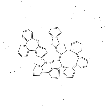 c1ccc(-c2ccccc2N(c2ccc3c(c2)-c2ccccc2-c2ccccc2O3)c2ccc3c4ccccc4c4ccccc4c4ccccc4c4cc5c(cc4c3c2)sc2ccccc25)cc1